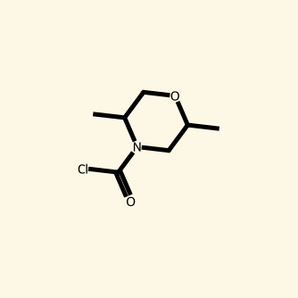 CC1CN(C(=O)Cl)C(C)CO1